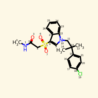 CNC(=O)CS(=O)(=O)c1cn(CC(C)(C)c2ccc(Cl)cc2)c2ccccc12